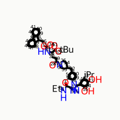 CCNC(=O)c1nnc(-c2cc(C(C)C)c(O)cc2O)n1-c1ccc(CC2CCN(C(=O)CC[C@H](NC(=O)OCC3c4ccccc4-c4ccccc43)C(=O)OC(C)(C)C)CC2)cc1